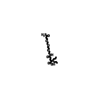 BC(=O)CCOCCOCCOCCNC(=O)CCC(C(=O)O)N(CCC)CCC